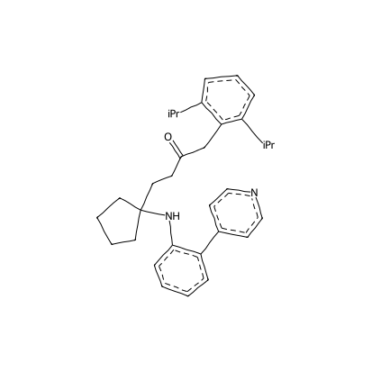 CC(C)c1cccc(C(C)C)c1CC(=O)CCC1(Nc2ccccc2-c2ccncc2)CCCC1